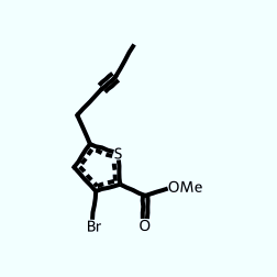 CC#CCc1cc(Br)c(C(=O)OC)s1